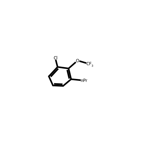 [CH2]CCc1cccc(Cl)c1OC(F)(F)F